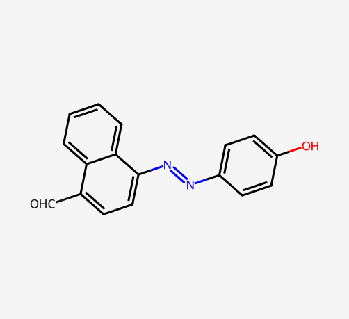 O=Cc1ccc(N=Nc2ccc(O)cc2)c2ccccc12